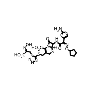 Nc1nc(/C(=N/OC2CCCC2)C(=O)NC2C(=O)N3C(C(=O)O)=C(CSc4nnnn4C/C(=N\O)C(=O)O)CS[C@H]23)cs1